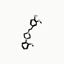 COc1cc(CCN2CCN(c3ccccc3OC)CC2)ccc1O